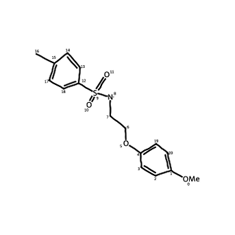 COc1ccc(OCC[N]S(=O)(=O)c2ccc(C)cc2)cc1